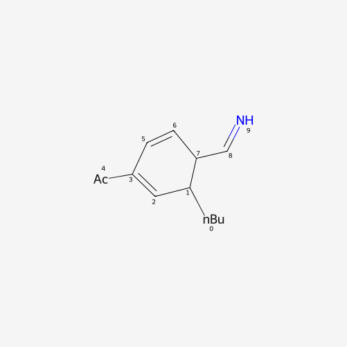 CCCCC1C=C(C(C)=O)C=CC1C=N